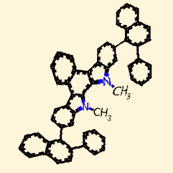 Cn1c2cc(-c3c(-c4ccccc4)ccc4ccccc34)ccc2c2c3ccccc3c3c4ccc(-c5c(-c6ccccc6)ccc6ccccc56)cc4n(C)c3c21